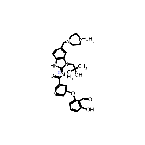 CN1CCN(Cc2ccc3[nH]/c(=N\C(=O)c4cncc(Oc5cccc(O)c5C=O)c4)n(CC(C)(C)O)c3c2)CC1